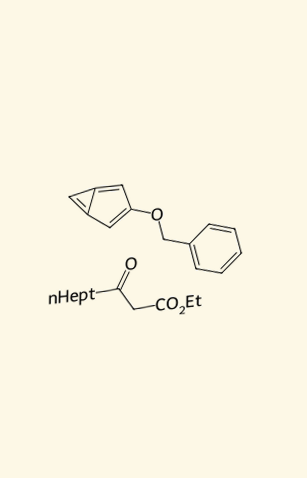 CCCCCCCC(=O)CC(=O)OCC.c1ccc(COc2cc3cc-3c2)cc1